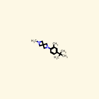 Cc1cc(C(C)(C)C)ccc1N1CC2(CN(C)C2)C1